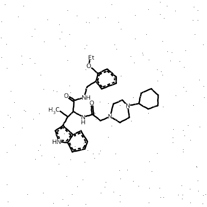 CCOc1ccccc1CNC(=O)C(NC(=O)CN1CCN(C2CCCCC2)CC1)C(C)c1c[nH]c2ccccc12